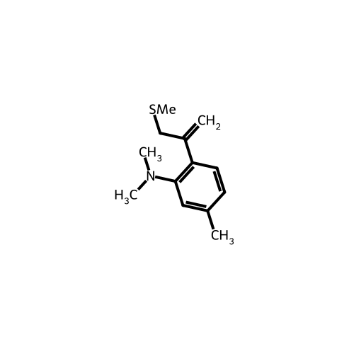 C=C(CSC)c1ccc(C)cc1N(C)C